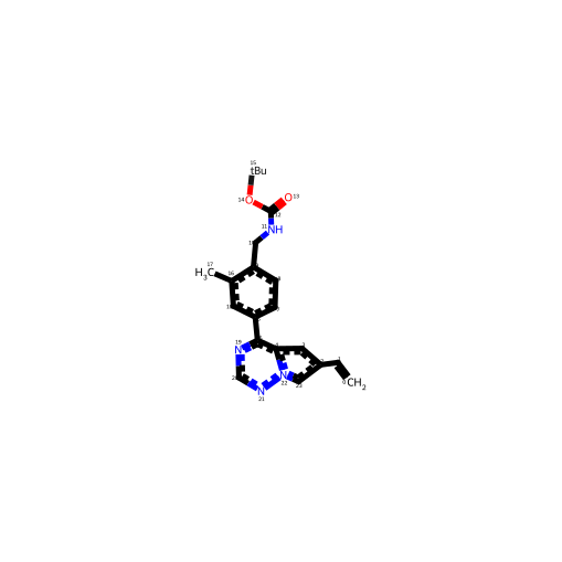 C=Cc1cc2c(-c3ccc(CNC(=O)OC(C)(C)C)c(C)c3)ncnn2c1